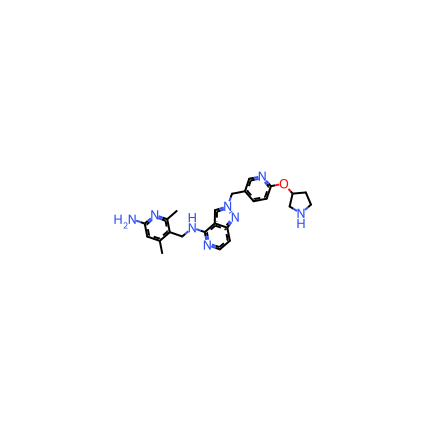 Cc1cc(N)nc(C)c1CNc1nccc2nn(Cc3ccc(OC4CCNC4)nc3)cc12